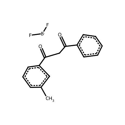 Cc1cccc(C(=O)CC(=O)c2ccccc2)c1.F[B]F